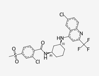 CS(=O)(=O)c1ccc(C(=O)N[C@@H]2CCC[C@H](Nc3cc(C(F)(F)F)nc4ccc(Cl)cc34)C2)c(Cl)c1